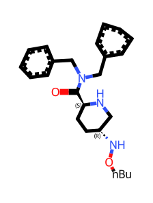 CCCCON[C@@H]1CC[C@@H](C(=O)N(Cc2ccccc2)Cc2ccccc2)NC1